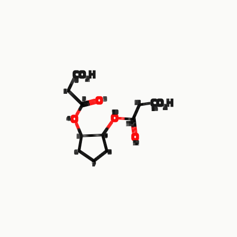 O=C(O)CC(=O)OC1CCCC1OC(=O)CC(=O)O